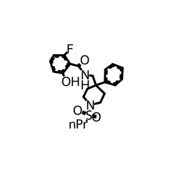 CCCS(=O)(=O)N1CCC(CNC(=O)c2c(O)cccc2F)(c2ccccc2)CC1